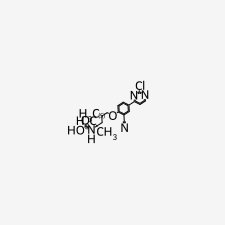 C[C@H](COc1ccc(-c2ccnc(Cl)n2)cc1C#N)CC(C)(C)NC(=O)O